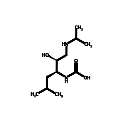 CC(C)C[C@H](NC(=O)O)[C@H](O)CNC(C)C